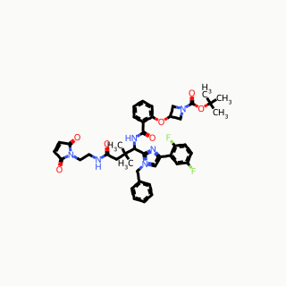 CC(C)(C)OC(=O)N1CC(Oc2ccccc2C(=O)NC(c2nc(-c3cc(F)ccc3F)cn2Cc2ccccc2)C(C)(C)CC(=O)NCCN2C(=O)C=CC2=O)C1